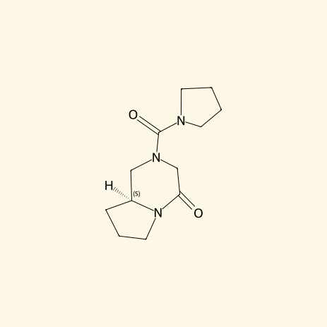 O=C(N1CCCC1)N1CC(=O)N2CCC[C@H]2C1